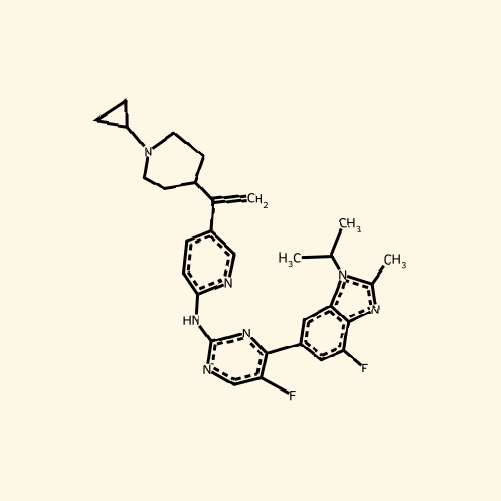 C=C(c1ccc(Nc2ncc(F)c(-c3cc(F)c4nc(C)n(C(C)C)c4c3)n2)nc1)C1CCN(C2CC2)CC1